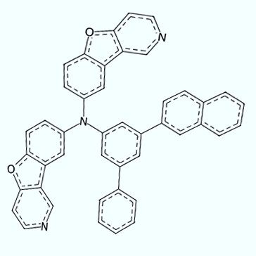 c1ccc(-c2cc(-c3ccc4ccccc4c3)cc(N(c3ccc4oc5ccncc5c4c3)c3ccc4oc5ccncc5c4c3)c2)cc1